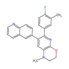 Cc1cc(-c2nc3c(cc2-c2ccc4ncccc4c2)N(C)CCO3)ccc1F